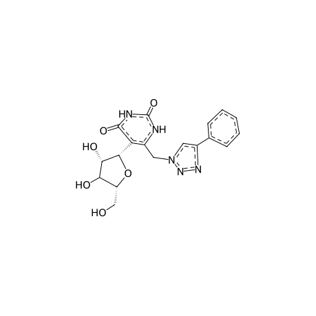 O=c1[nH]c(Cn2cc(-c3ccccc3)nn2)c([C@@H]2O[C@H](CO)C(O)[C@@H]2O)c(=O)[nH]1